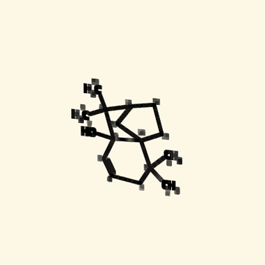 CC1(C)CC=CC2(O)C(C)(C)C3CCC12C3